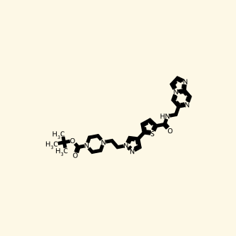 CC(C)(C)OC(=O)N1CCN(CCn2cc(-c3ccc(C(=O)NCc4cn5ccnc5cn4)s3)cn2)CC1